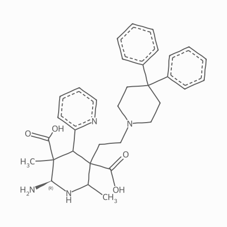 CC1N[C@@H](N)C(C)(C(=O)O)C(c2ccccn2)C1(CCN1CCC(c2ccccc2)(c2ccccc2)CC1)C(=O)O